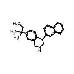 CCC(C)(N)c1ccc2c(c1)CNCC2c1ccc2ccccc2c1